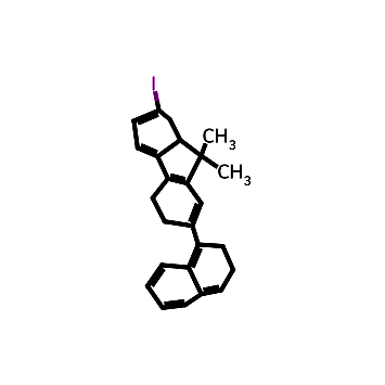 CC1(C)C2=C(CCC(C3=c4ccccc4=CCC3)=C2)C2=CC=C(I)CC21